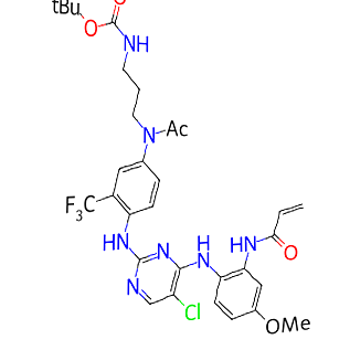 C=CC(=O)Nc1cc(OC)ccc1Nc1nc(Nc2ccc(N(CCCNC(=O)OC(C)(C)C)C(C)=O)cc2C(F)(F)F)ncc1Cl